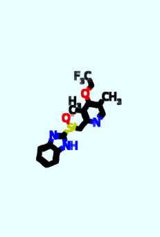 Cc1cnc(C[S@@+]([O-])c2nc3ccccc3[nH]2)c(C)c1OCC(F)(F)F